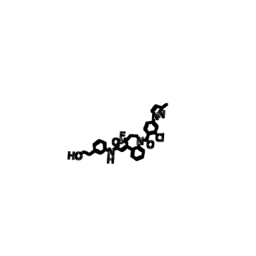 Cc1ccn(-c2ccc(C(=O)N3CCC(F)(F)C(=CC(=O)Nc4cccc(CCO)c4)c4ccccc43)c(Cl)c2)n1